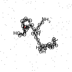 CCc1c2c(nc3ccccc13)-c1cc3c(c(=O)n1C2)COC(=O)[C@@]3(CC)OC(=O)[C@@H](NC(=O)[C@@H]1CCCN1C(=O)[C@H](CC(=O)O)NC(=O)CCOCCOCCOCCNC(=O)[C@H](CCCCNC(=O)CCCC(=O)N(C)CC(=O)N(C)CC(=O)N(C)CC(=O)N(C)CC(=O)N(C)CC(=O)N(C)CC(=O)N(C)CC(=O)N(C)CC(=O)O)NC(=O)CCOCCOCCOCCN)C(C)C